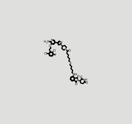 Nc1ncc(-c2cnn(C3CCN(C(=O)CCCCCSCCCCCNc4cccc5c4C(=O)N([C@@H]4CCC(=O)NC4=O)C5=O)CC3)c2)cc1OCCc1c(Cl)ccc(F)c1Cl